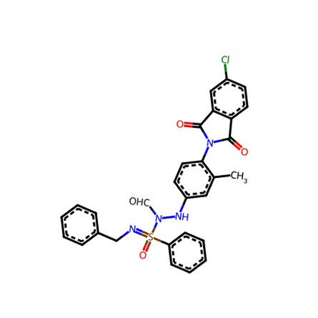 Cc1cc(NN(C=O)S(=O)(=NCc2ccccc2)c2ccccc2)ccc1N1C(=O)c2ccc(Cl)cc2C1=O